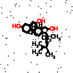 CC[C@H](C=C[C@@H](C)[C@H]1C(O)C[C@H]2[C@@H]3C(O)C=C4CC(O)CC[C@]4(C)[C@H]3CC[C@]12C)C(C)C